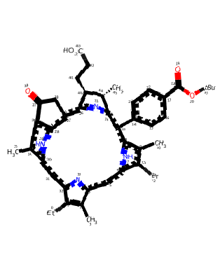 CCC1=C(C)c2cc3[nH]c(c(C)c3C(C)C)c(-c3ccc(C(=O)OC(C)(C)C)cc3)c3nc(c4c5[nH]c(cc1n2)c(C)c5C(=O)C4)[C@@H](CCC(=O)O)[C@@H]3C